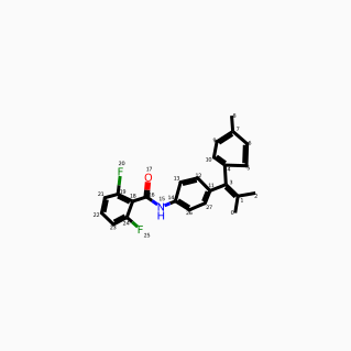 CC(C)=C(c1ccc(C)cc1)c1ccc(NC(=O)c2c(F)cccc2F)cc1